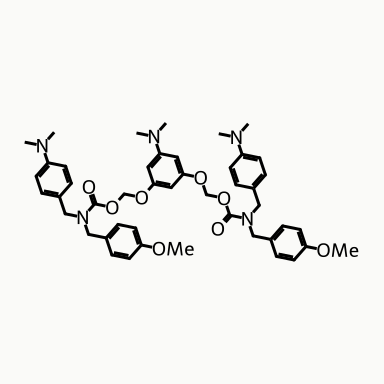 COc1ccc(CN(Cc2ccc(N(C)C)cc2)C(=O)OCOc2cc(OCOC(=O)N(Cc3ccc(OC)cc3)Cc3ccc(N(C)C)cc3)cc(N(C)C)c2)cc1